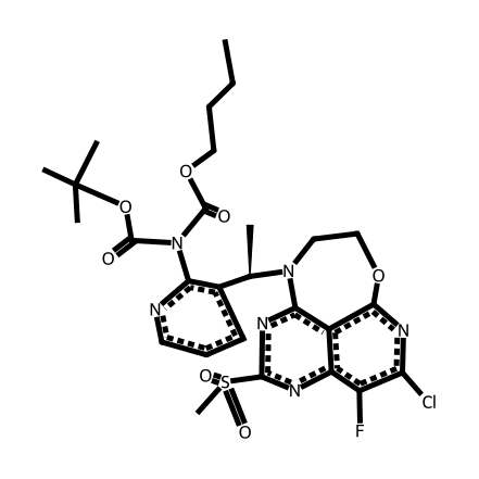 CCCCOC(=O)N(C(=O)OC(C)(C)C)c1ncccc1[C@@H](C)N1CCOc2nc(Cl)c(F)c3nc(S(C)(=O)=O)nc1c23